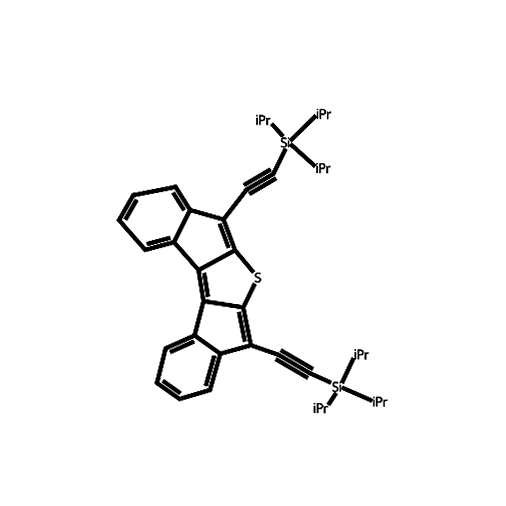 CC(C)[Si](C#CC1=c2sc3c(c2-c2ccccc21)-c1ccccc1C=3C#C[Si](C(C)C)(C(C)C)C(C)C)(C(C)C)C(C)C